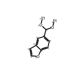 CCOC(OCC)c1ccc2occc2c1